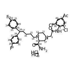 CC(=O)c1cc(Cl)c(NC(=O)CN2CCN(CCCCC(c3ccc(F)cc3)c3ccc(F)cc3)C(C(N)=O)C2)c(Cl)c1.Cl.Cl